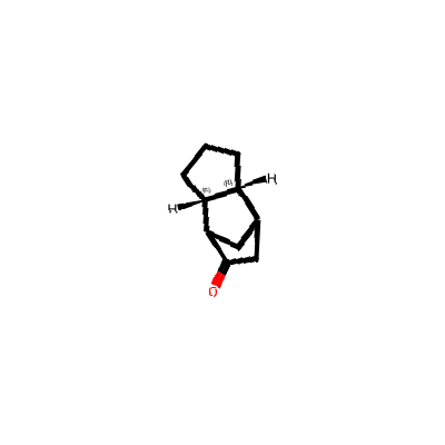 O=C1CC2CC1[C@@H]1CCC[C@H]21